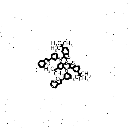 CC(C)c1cc2c3c(c1)N(c1cccc(-c4cc5ccccc5o4)c1)c1c(sc4ccc(C(C)(C)C)cc14)B3c1sc3ccc(C(C)(C)C)cc3c1N2c1cccc(-c2cc3ccccc3o2)c1